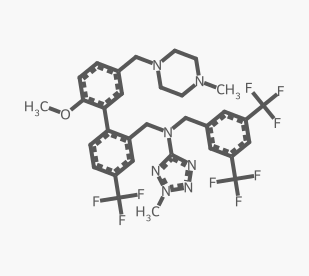 COc1ccc(CN2CCN(C)CC2)cc1-c1ccc(C(F)(F)F)cc1CN(Cc1cc(C(F)(F)F)cc(C(F)(F)F)c1)c1nnn(C)n1